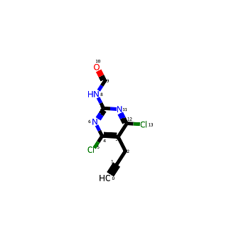 C#CCc1c(Cl)nc(NC=O)nc1Cl